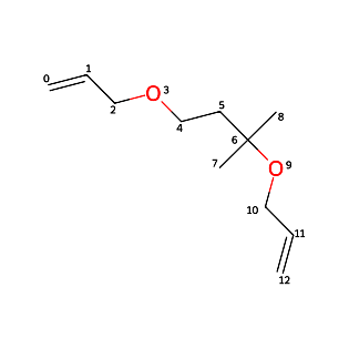 C=CCOCCC(C)(C)OCC=C